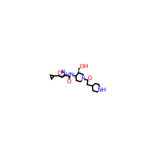 O=C(N[C@@H]1CCN(C(=O)CC2CCNCC2)C[C@@H]1CO)c1cc(C2CC2)on1